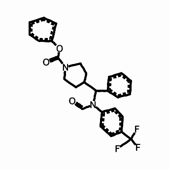 O=CN(c1ccc(C(F)(F)F)cc1)C(c1ccccc1)C1CCN(C(=O)Oc2ccccc2)CC1